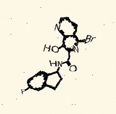 O=C(NC1CCc2cc(F)ccc21)c1nc(Br)c2cccnc2c1O